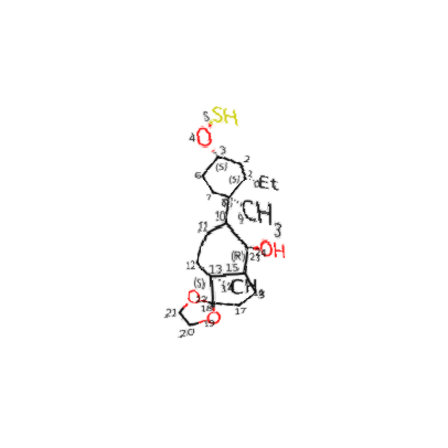 CC[C@H]1C[C@@H](OS)CC[C@]1(C)C1CC[C@@]2(C)C(CCC23OCCO3)[C@@H]1O